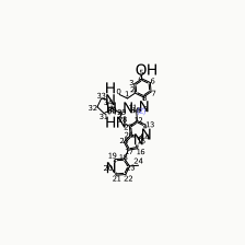 CCc1cc(O)ccc1/N=C(\N)c1cnn2cc(-c3cnccc3C)cc2c1NC[C@H]1CCCN1